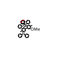 COc1cc2c(cc1C)[Si](c1ccccc1)(c1ccccc1)[Si](c1ccccc1)(c1ccccc1)c1cc(C)c(N(c3ccccc3)c3ccccc3)cc1-2